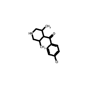 CC1CNCC(C)C1C(=O)c1ccc(Cl)cc1